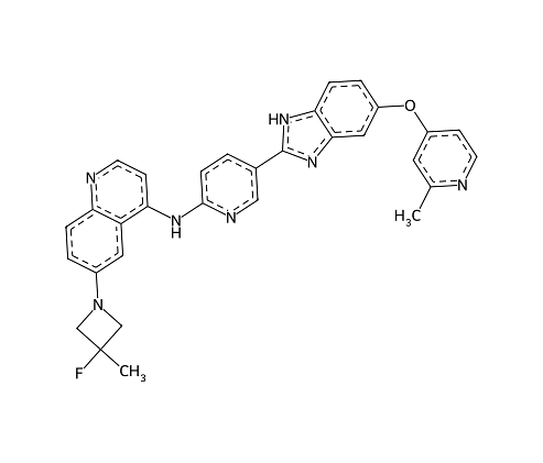 Cc1cc(Oc2ccc3[nH]c(-c4ccc(Nc5ccnc6ccc(N7CC(C)(F)C7)cc56)nc4)nc3c2)ccn1